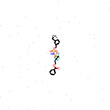 C=Cc1cccc(COS(=O)(=O)NS(=O)(=O)C(F)(F)C(F)(F)CCOC(=O)c2ccccc2)c1